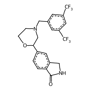 O=C1NCc2cc(C3CN(Cc4cc(C(F)(F)F)cc(C(F)(F)F)c4)CCO3)ccc21